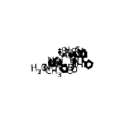 Cc1cccc(CC2CCCCC2)c1-c1nc2nc(c1C)OC[C@@H](CC(C)(C)C)N(Cc1ncc(N(C)C)cn1)C(=O)c1cccc(c1)S(=O)(=O)N2